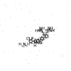 C[C@H](N)CCCc1cc(Cl)c(F)c(-c2cc3cn(-c4ccc([C@@H]5CCC[C@@H](CCSC(=N)N)N5CCCSC(=N)N)cc4)c(=O)nc3[nH]2)c1